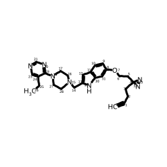 C#CCCC1(CCOc2ccc3cc(CN4CCN(c5ncncc5CC)CC4)[nH]c3c2)N=N1